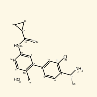 C[C@@H](N)c1ccc(-c2cc(NC(=O)C3CC3)ncc2F)cc1Cl.Cl